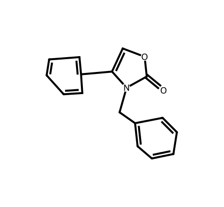 O=c1occ(-c2ccccc2)n1Cc1ccccc1